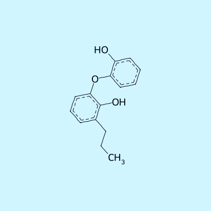 CCCc1cccc(Oc2ccccc2O)c1O